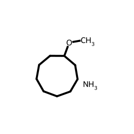 COC1CCCCCCCC1.N